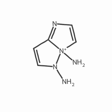 NN1C=CC2=NC=C[N+]21N